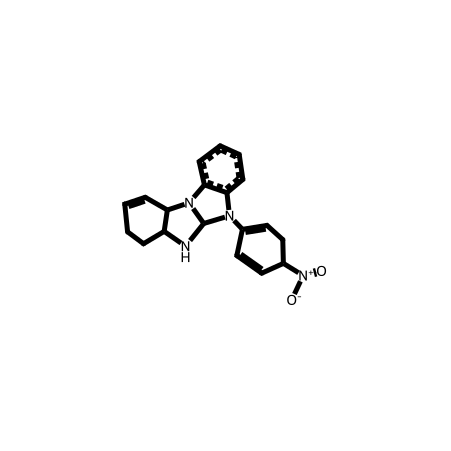 O=[N+]([O-])C1C=CC(N2c3ccccc3N3C4C=CCCC4NC23)=CC1